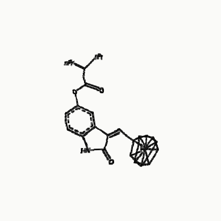 CCCC(CCC)C(=O)Oc1ccc2c(c1)C(=C[C]13[CH]4[CH]5[CH]6[CH]1[Fe]56431789[CH]3[CH]1[CH]7[CH]8[CH]39)C(=O)N2